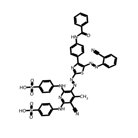 Cc1c(C#N)c(Nc2ccc(S(=O)(=O)O)cc2)nc(Nc2ccc(S(=O)(=O)O)cc2)c1N=Nc1nc(-c2ccc(NC(=O)c3ccccc3)cc2)c(N=Nc2ccccc2C#N)s1